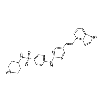 O=S(=O)(NC1CCNCC1)c1ccc(Nc2ncc(/C=C/c3cccc4[nH]ccc34)cn2)cc1